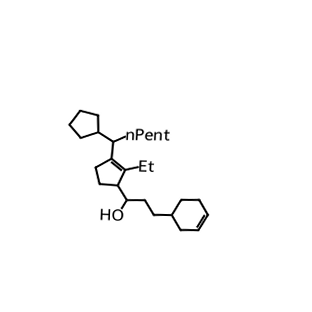 CCCCCC(C1=C(CC)C(C(O)CCC2CC=CCC2)CC1)C1CCCC1